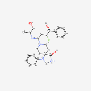 CCC(CO)NC(CC(F)C(=O)c1ccccc1)N1CCC2(CC1)C(=O)NCN2c1ccccc1